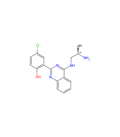 CCC[C@@H](N)CNc1nc(-c2cc(Cl)ccc2O)nc2ccccc12